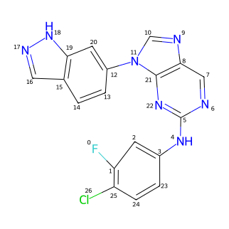 Fc1cc(Nc2ncc3ncn(-c4ccc5cn[nH]c5c4)c3n2)ccc1Cl